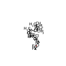 CN(CCC1CCC(C)(C)N(C(=O)OC(C)(C)C)C1)c1cccc(S(=O)(=O)NC(=O)c2ccc(-n3ccc(OCCC4(C(F)(F)F)CC4)n3)nc2Cl)n1